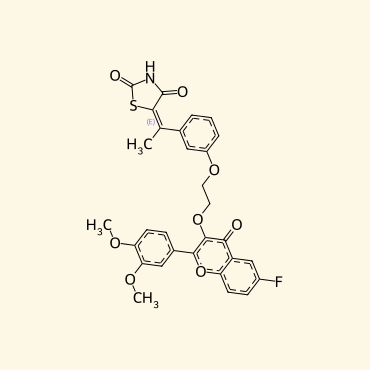 COc1ccc(-c2oc3ccc(F)cc3c(=O)c2OCCOc2cccc(/C(C)=C3/SC(=O)NC3=O)c2)cc1OC